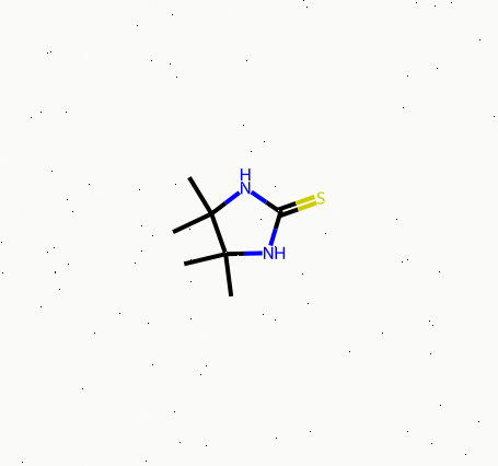 CC1(C)NC(=S)NC1(C)C